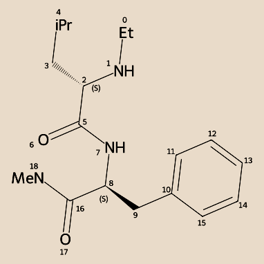 CCN[C@@H](CC(C)C)C(=O)N[C@@H](Cc1ccccc1)C(=O)NC